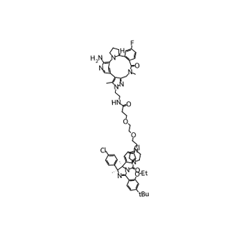 CCOc1cc(C(C)(C)C)ccc1C1=N[C@@](C)(c2ccc(Cl)cc2)[C@@](C)(c2ccc(Cl)cc2)N1C(=O)N1CCN(CCOCCOCCC(=O)NCCn2nc3c(c2C)-c2cnc(N)c(c2)N2CCC[C@@H]2c2cc(F)ccc2C(=O)N(C)C3)CC1